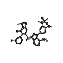 COc1ccc(-c2nn([C@@H](C)c3cc4scc(C)n4c(=O)c3-c3cccc(F)c3)c3ncnc(N)c23)cc1N(C)S(C)(=O)=O